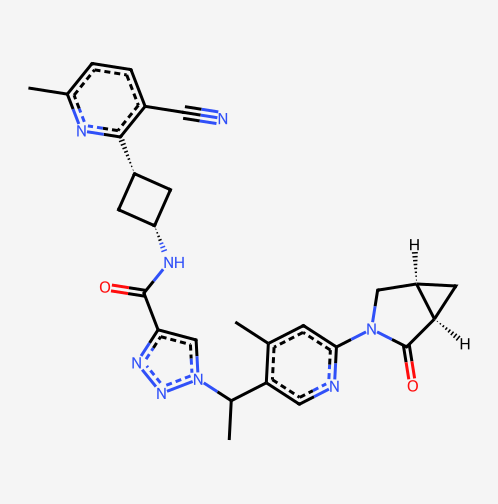 Cc1ccc(C#N)c([C@H]2C[C@@H](NC(=O)c3cn(C(C)c4cnc(N5C[C@H]6C[C@H]6C5=O)cc4C)nn3)C2)n1